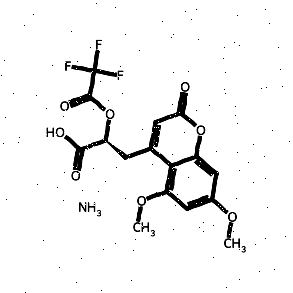 COc1cc(OC)c2c(C[C@H](OC(=O)C(F)(F)F)C(=O)O)cc(=O)oc2c1.N